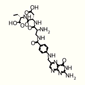 CC[C@H](NC(=O)[C@H](CC(=O)O)NC(=O)[C@@H](N)CNC(=O)c1ccc(NCc2cnc3nc(N)[nH]c(=O)c3n2)cc1)C(=O)O